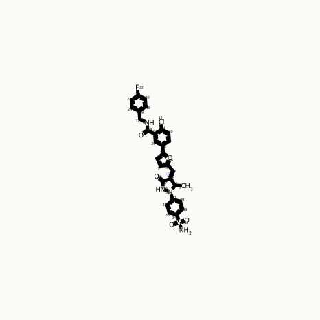 CC1/C(=C/c2ccc(-c3ccc(Cl)c(C(=O)NCc4ccc(F)cc4)c3)o2)C(=O)NN1c1ccc(S(N)(=O)=O)cc1